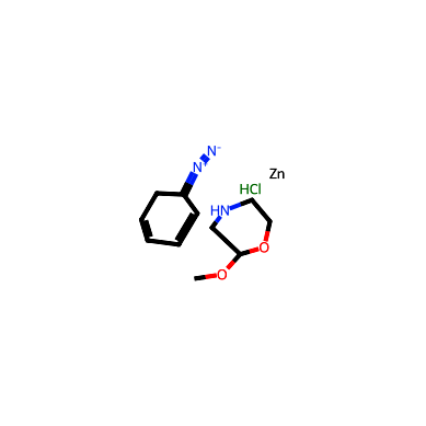 COC1CNCCO1.Cl.[N-]=[N+]=C1C=CC=CC1.[Zn]